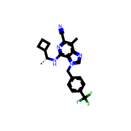 Cc1c(C#N)nc(N[C@H](C)C2CCC2)c2c1ncn2Cc1ccc(C(F)(F)F)cc1